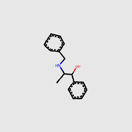 CC(NCc1ccccc1)C(O)c1ccccc1